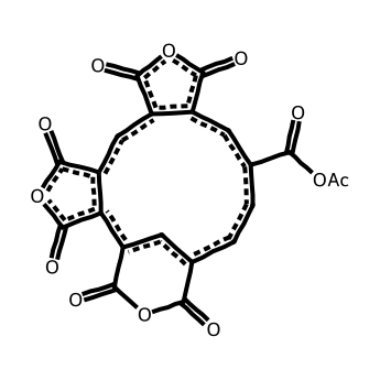 CC(=O)OC(=O)c1ccc2cc(c3c(=O)oc(=O)c3cc3c(=O)oc(=O)c3c1)C(=O)OC2=O